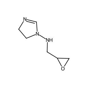 C1=NCCN1NCC1CO1